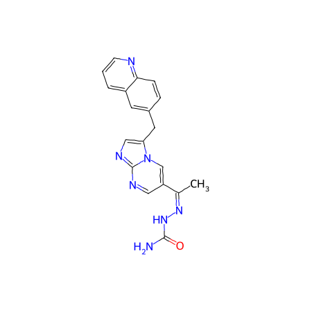 C/C(=N/NC(N)=O)c1cnc2ncc(Cc3ccc4ncccc4c3)n2c1